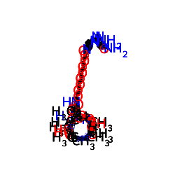 CO[C@H]1C[C@@H]2CC[C@@H](C)[C@@](O)(O2)C(=O)C(=O)N2CCCC[C@H]2C(=O)O[C@H]([C@H](N)C[C@@H]2CC[C@@H](OC(=O)NCCOCCOCCOCCOCCOCCOCCOCCOCC(=O)N3CCc4cc(Cn5nc(-c6ccc7oc(N)nc7c6)c6c(N)ncnc65)ccc4C3)[C@H](OC)C2)CC(=O)[C@H](C)/C=C(\C)[C@@H](O)[C@@H](O)C(=O)[C@H](C)C[C@H](C)/C=C/C=C/C=C/1C